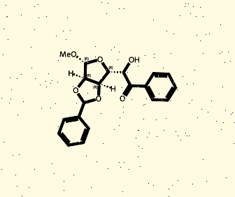 CO[C@@H]1O[C@H](C(O)C(=O)c2ccccc2)[C@H]2OC(c3ccccc3)O[C@@H]12